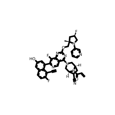 C#Cc1c(F)ccc2cc(O)cc(-c3ncc4c(N5C[C@H]6CC(C#N)[C@@H](C5)N6C(=O)C=C)nc(OC[C@]5(C)C[C@@H](F)CN5c5cccnc5)nc4c3F)c12